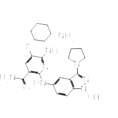 Cn1nc(N2CCCC2)c2cc(Nc3nc(N[C@@H]4CCCC[C@@H]4N)c(F)cc3C(N)=O)ccc21